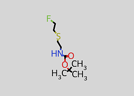 CC(C)(C)OC(=O)NCCSCCF